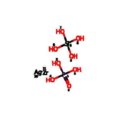 O=P(O)(O)O.O[Si](O)(O)O.[Ag].[Zr]